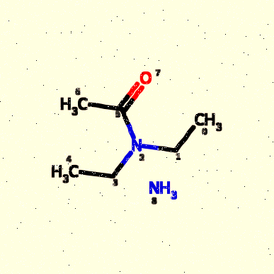 CCN(CC)C(C)=O.N